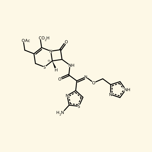 CC(=O)OCC1=C(C(=O)O)N2C(=O)C(NC(=O)C(=NOCc3c[nH]cn3)c3csc(N)n3)[C@@H]2SC1